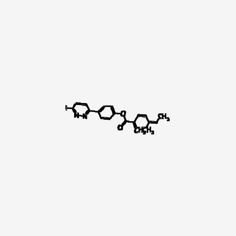 C=C(/C=C\C(C)=C/C)C(=O)Oc1ccc(-c2ccc(I)nn2)cc1